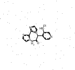 CCNc1cnccc1C(C(N)=O)n1ccnc1-c1nccs1